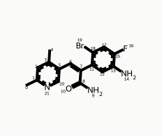 Cc1cc(C)c(/C=C(\C(N)=O)c2cc(N)c(F)cc2Br)cn1